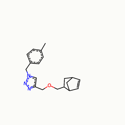 Cc1ccc(Cn2cc(COCC3CC4C=CC3C4)nn2)cc1